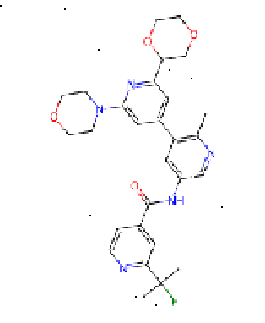 Cc1ncc(NC(=O)c2ccnc(C(C)(C)F)c2)cc1-c1cc(C2COCCO2)nc(N2CCOCC2)c1